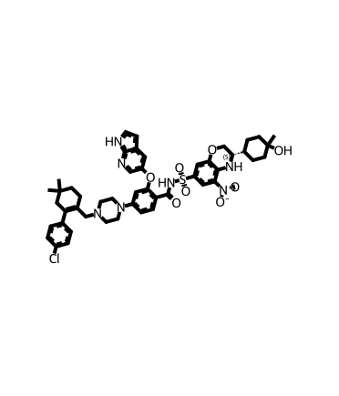 CC1(C)CCC(CN2CCN(c3ccc(C(=O)NS(=O)(=O)c4cc5c(c([N+](=O)[O-])c4)N[C@@H](C4CCC(C)(O)CC4)CO5)c(Oc4cnc5[nH]ccc5c4)c3)CC2)=C(c2ccc(Cl)cc2)C1